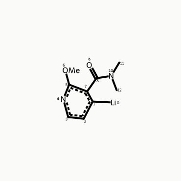 [Li][c]1ccnc(OC)c1C(=O)N(C)C